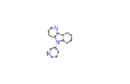 c1cncc(-n2c3ccccc3c3ncccc32)c1